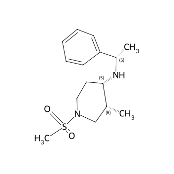 C[C@H](N[C@H]1CCN(S(C)(=O)=O)C[C@H]1C)c1ccccc1